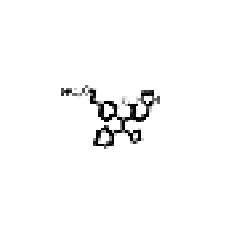 O=C(O)C=Cc1ccc(C(=C(c2ccccc2)C2CCC2)c2ccc3nccn3c2F)cc1